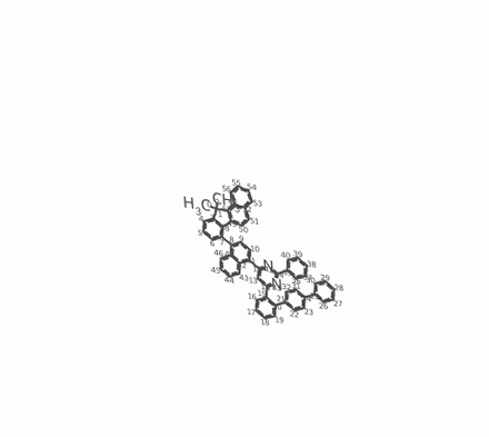 CC1(C)c2cccc(-c3ccc(-c4cc(-c5ccccc5-c5ccc(-c6ccccc6)cc5)nc(-c5ccccc5)n4)c4ccccc34)c2-c2ccc3ccccc3c21